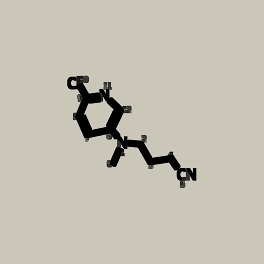 CN(CCCC#N)c1ccc(Cl)nc1